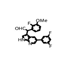 COc1cccc(C(C=O)c2c[nH]c3ncc(-c4cc(F)cc(F)c4)cc23)c1F